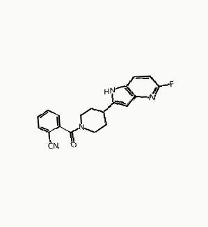 N#Cc1ccccc1C(=O)N1CCC(c2cc3nc(F)ccc3[nH]2)CC1